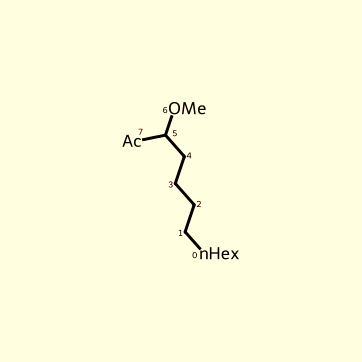 CCCCCCCCCCC(OC)C(C)=O